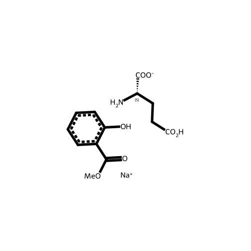 COC(=O)c1ccccc1O.N[C@@H](CCC(=O)O)C(=O)[O-].[Na+]